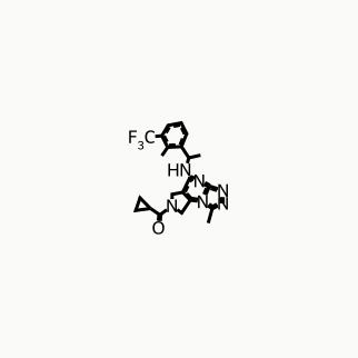 Cc1c(C(C)Nc2nc3nnc(C)n3c3c2CN(C(=O)C2CC2)C3)cccc1C(F)(F)F